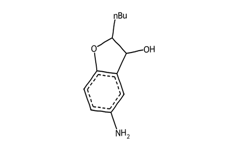 CCCCC1Oc2ccc(N)cc2C1O